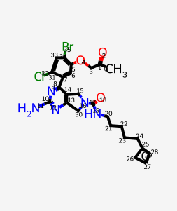 CC(=O)COc1cc(-c2nc(N)nc3c2CN(C(=O)NCCCCCC24CC(C2)C4)C3)c(Cl)cc1Br